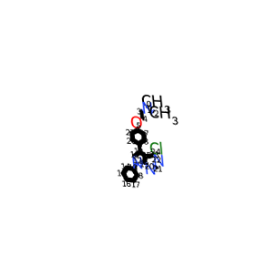 CN(C)CCOc1ccc(-c2cn(-c3ccccc3)c3ncnc(Cl)c23)cc1